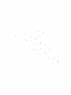 c1ccc(-c2ccc(N(c3ccccc3)c3ccc4ccc5c(N6CCc7ccccc76)ccc6ccc3c4c65)cc2)cc1